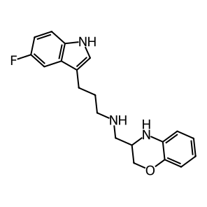 Fc1ccc2[nH]cc(CCCNCC3COc4ccccc4N3)c2c1